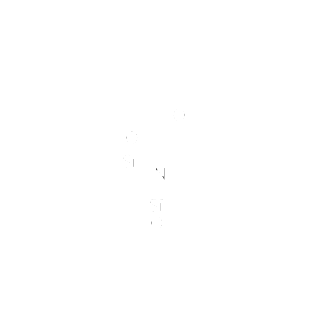 C=CCOCC1CN(C[Si](C)(C)OCC)C[Si](C)(C)O1